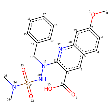 COc1ccc2cc(C(=O)O)c(N(Cc3ccccc3)NS(=O)(=O)N(C)C)nc2c1